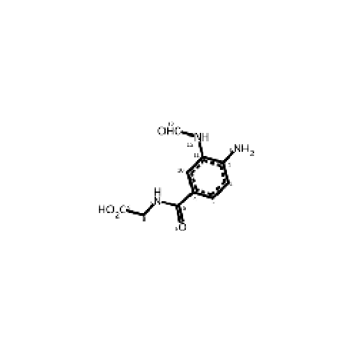 Nc1ccc(C(=O)NCC(=O)O)cc1NC=O